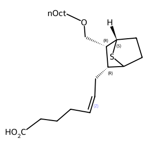 CCCCCCCCOC[C@@H]1[C@@H]2CCC(S2)[C@@H]1C/C=C\CCCC(=O)O